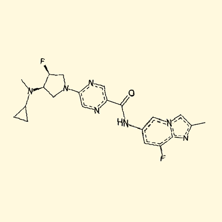 Cc1cn2cc(NC(=O)c3cnc(N4C[C@@H](N(C)C5CC5)[C@@H](F)C4)cn3)cc(F)c2n1